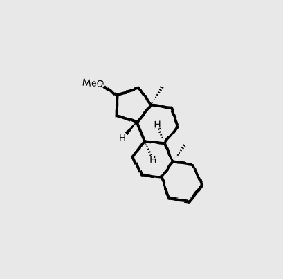 COC1C[C@H]2[C@@H]3CCC4CCCC[C@]4(C)[C@@H]3CC[C@]2(C)C1